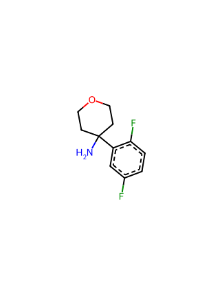 NC1(c2cc(F)ccc2F)CCOCC1